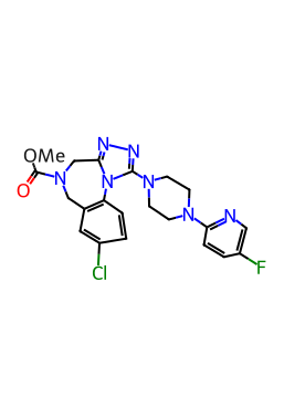 COC(=O)N1Cc2cc(Cl)ccc2-n2c(nnc2N2CCN(c3ccc(F)cn3)CC2)C1